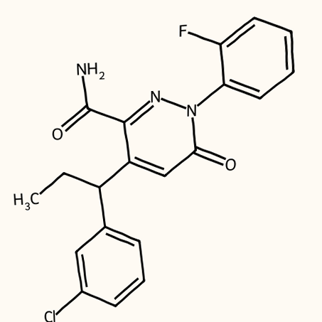 CCC(c1cccc(Cl)c1)c1cc(=O)n(-c2ccccc2F)nc1C(N)=O